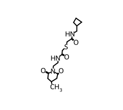 CC1CC(=O)N(CCNC(=O)CSCC(=O)NCC2CCC2)C(=O)C1